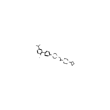 COc1ccc(C(C)C)cc1-c1ccc(N2CCN(CC(=O)N3CCN(C4CCC4)CC3)CC2)cc1